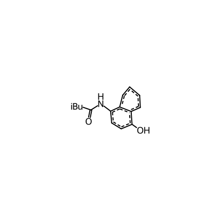 CCC(C)C(=O)Nc1ccc(O)c2ccccc12